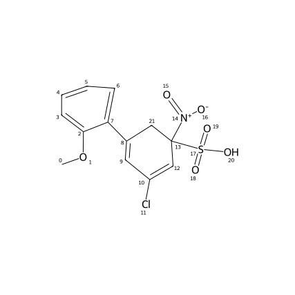 COc1ccccc1C1=CC(Cl)=CC([N+](=O)[O-])(S(=O)(=O)O)C1